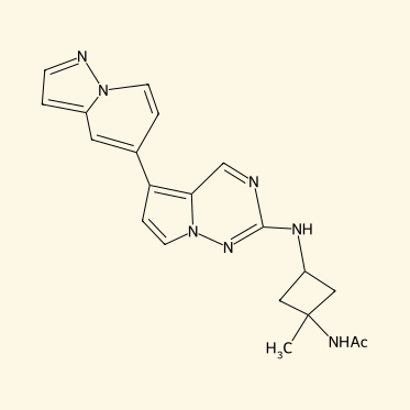 CC(=O)NC1(C)CC(Nc2ncc3c(-c4ccn5nccc5c4)ccn3n2)C1